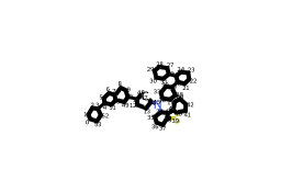 c1ccc(-c2ccc3ccc(-c4ccc(N(c5ccc(-c6ccccc6-c6ccccc6)cc5)c5cccc6sc7ccccc7c56)cc4)cc3c2)cc1